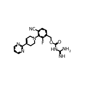 N#Cc1ccc(COC(=O)NC(=N)N)c(F)c1N1CC=C(c2ncccn2)CC1